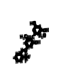 Cc1cc(O)cc(O)c1.Cc1cc(O)cc(OCc2ccccc2C(F)(F)F)c1.O